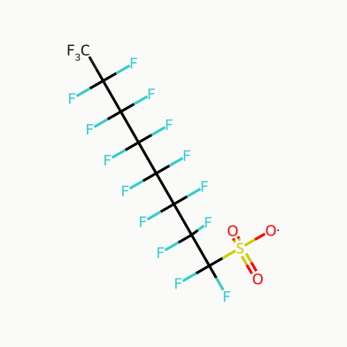 [O]S(=O)(=O)C(F)(F)C(F)(F)C(F)(F)C(F)(F)C(F)(F)C(F)(F)C(F)(F)C(F)(F)F